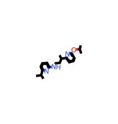 CC(C)Oc1cccc(C(C)CCNc2cccc(C(C)C)n2)n1